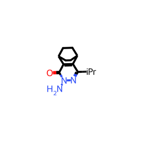 CC(C)c1nn(N)c(=O)c2c1C1CCC2CC1